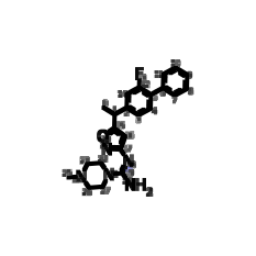 CC(c1ccc(-c2ccccc2)c(F)c1)c1cc(/N=C(/N)N2CCN(C)CC2)no1